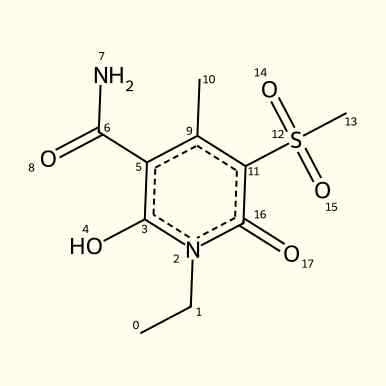 CCn1c(O)c(C(N)=O)c(C)c(S(C)(=O)=O)c1=O